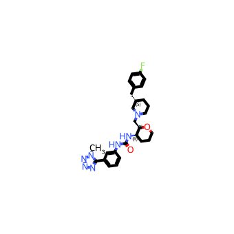 Cn1nnnc1-c1cccc(NC(=O)N[C@@H]2CCCO[C@@H]2CN2CCC[C@@H](Cc3ccc(F)cc3)C2)c1